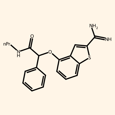 CCCNC(=O)C(Oc1cccc2sc(C(=N)N)cc12)c1ccccc1